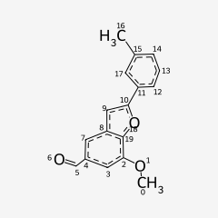 COc1cc(C=O)cc2cc(-c3cccc(C)c3)oc12